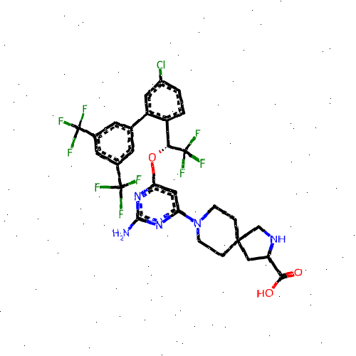 Nc1nc(O[C@H](c2ccc(Cl)cc2-c2cc(C(F)(F)F)cc(C(F)(F)F)c2)C(F)(F)F)cc(N2CCC3(CC2)CNC(C(=O)O)C3)n1